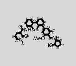 COc1cc(-c2cccc(-c3cccc(NC(=O)c4cccn(C)c4=O)c3C)c2C)cc(F)c1CN[C@@H]1CCC[C@H]1O